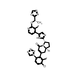 C[C@H](Oc1nccc(-c2cnc([C@@H]3CC[C@H]4CC(c5c(-n6cnnn6)ccc(Cl)c5F)=CC(=O)N43)[nH]2)c1F)c1nnco1